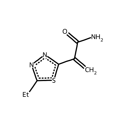 C=C(C(N)=O)c1nnc(CC)s1